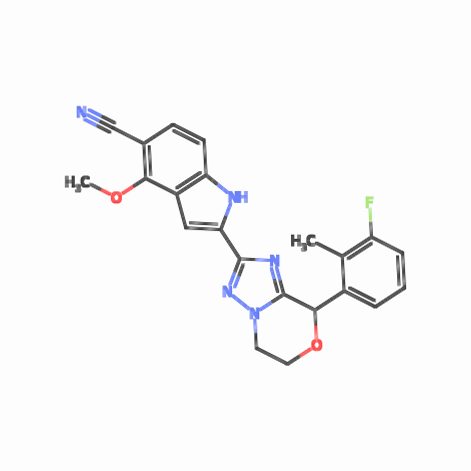 COc1c(C#N)ccc2[nH]c(-c3nc4n(n3)CCOC4c3cccc(F)c3C)cc12